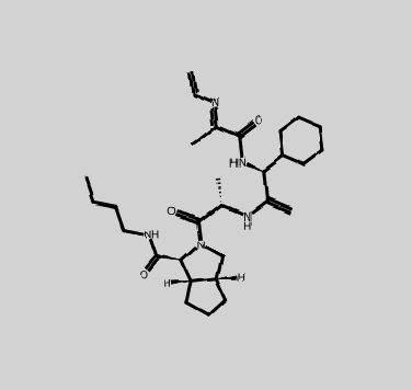 C=C/N=C(\C)C(=O)N[C@H](C(=C)N[C@@H](C)C(=O)N1C[C@@H]2CCC[C@@H]2[C@H]1C(=O)NCCCC)C1CCCCC1